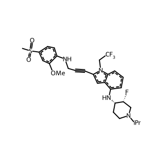 COc1cc(S(C)(=O)=O)ccc1NCC#Cc1cc2c(N[C@H]3CCN(C(C)C)C[C@H]3F)cccc2n1CC(F)(F)F